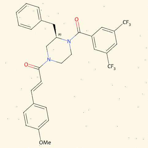 COc1ccc(C=CC(=O)N2CCN(C(=O)c3cc(C(F)(F)F)cc(C(F)(F)F)c3)[C@H](Cc3ccccc3)C2)cc1